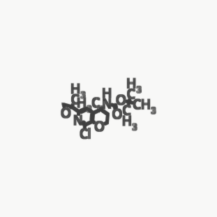 CC(C)(C)OC(=O)N[C@@]1(C)CCOc2c1cc(C1(C)CO1)nc2Cl